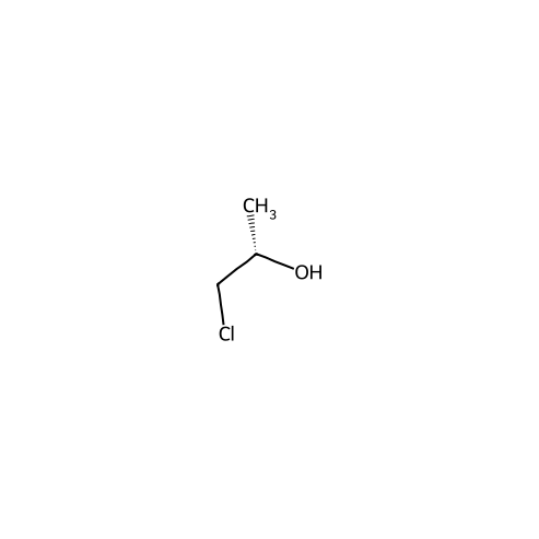 C[C@H](O)CCl